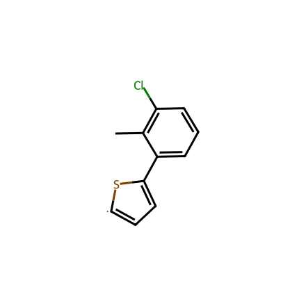 Cc1c(Cl)cccc1-c1cc[c]s1